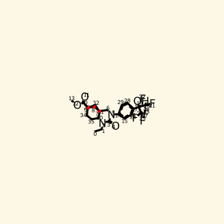 CCN(C(=O)N(CCCCC(=O)OC)c1ccc(C(O)(C(F)(F)F)C(F)(F)F)cc1)C1CCCCC1